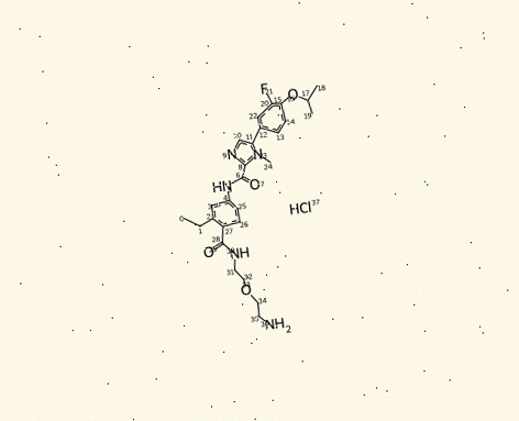 CCc1cc(NC(=O)c2ncc(-c3ccc(OC(C)C)c(F)c3)n2C)ccc1C(=O)NCCOCCN.Cl